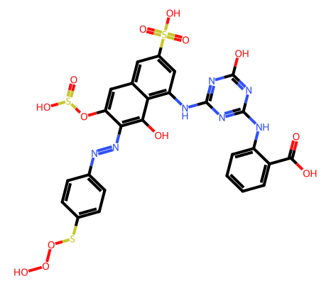 O=C(O)c1ccccc1Nc1nc(O)nc(Nc2cc(S(=O)(=O)O)cc3cc(OS(=O)O)c(/N=N/c4ccc(SOOO)cc4)c(O)c23)n1